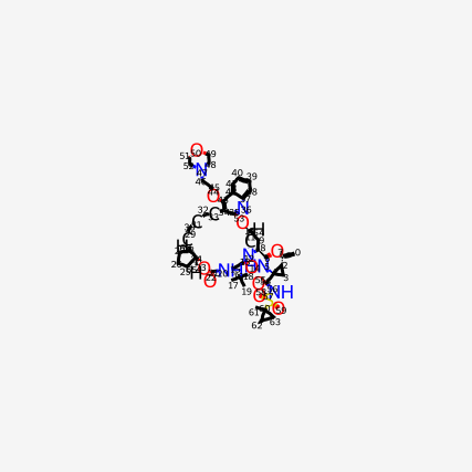 C=C[C@@H]1C[C@]1(NC(=O)[C@@H]1C[C@@H]2CN1C(=O)[C@H](C(C)(C)C)NC(=O)O[C@@H]1CCC[C@H]1CCCCCc1c(nc3ccccc3c1OCCN1CCOCC1)O2)C(=O)NS(=O)(=O)C1(C)CC1